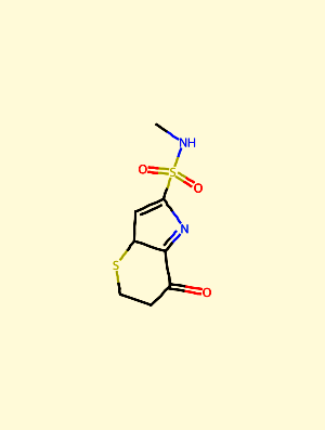 CNS(=O)(=O)C1=CC2SCCC(=O)C2=N1